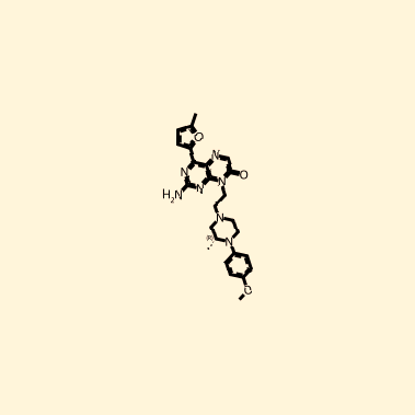 COc1ccc(N2CCN(CCn3c(=O)cnc4c(-c5ccc(C)o5)nc(N)nc43)C[C@H]2C)cc1